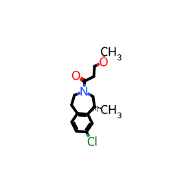 COCCC(=O)N1CCc2ccc(Cl)cc2[C@@H](C)C1